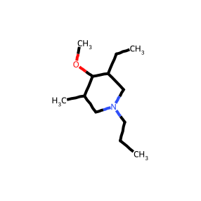 CCCN1CC(C)C(OC)C(CC)C1